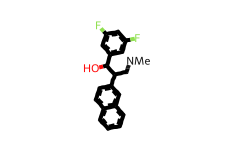 CNCC(c1ccc2ccccc2c1)C(O)c1cc(F)cc(F)c1